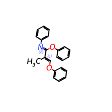 CC(=C\Oc1ccccc1)/C(=N/c1ccccc1)Oc1ccccc1